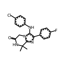 CC1(C)NC(=O)Cn2c1nc(-c1ccc(F)cc1)c2Nc1ccc(Cl)cc1